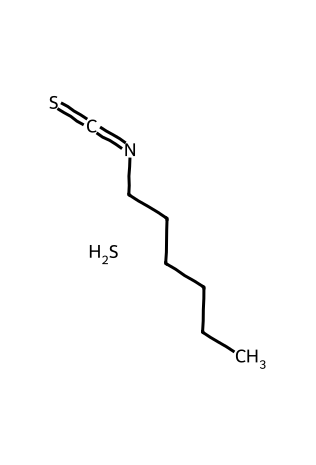 CCCCCCN=C=S.S